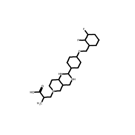 CC(CN1CCC2NC(C3CCC(OCC4CCCC(F)C4F)CC3)NCC2C1)C(=O)O